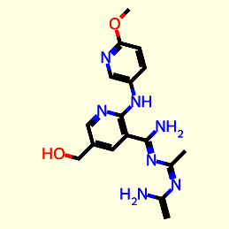 C=C(N)/N=C(C)\N=C(/N)c1cc(CO)cnc1Nc1ccc(OC)nc1